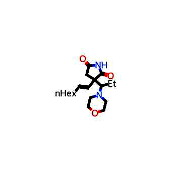 CCCCCCC=CC1(C(CC)N2CCOCC2)CC(=O)NC1=O